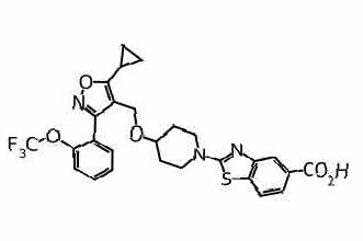 O=C(O)c1ccc2sc(N3CCC(OCc4c(-c5ccccc5OC(F)(F)F)noc4C4CC4)CC3)nc2c1